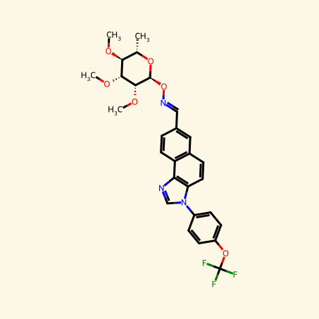 CO[C@@H]1[C@@H](OC)[C@H](C)O[C@@H](O/N=C/c2ccc3c(ccc4c3ncn4-c3ccc(OC(F)(F)F)cc3)c2)[C@@H]1OC